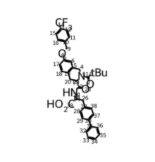 CC(C)(C)C(=O)N1Cc2cc(OCc3ccc(C(F)(F)F)cc3)ccc2C[C@H]1C(=O)N[C@@H](Cc1ccc(-c2ccccc2)cc1)C(=O)O